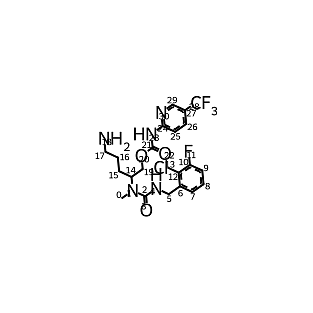 CN(C(=O)NCc1cccc(F)c1Cl)C(CCCN)COC(=O)Nc1ccc(C(F)(F)F)cn1